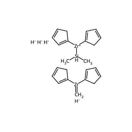 C[SiH](C)[Zr+]([C]1=CC=CC1)[C]1=CC=CC1.[CH2]=[Zr]([C]1=CC=CC1)[C]1=CC=CC1.[H-].[H-].[H-].[H-]